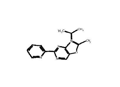 CC(C)N1c2nc(-c3ccccn3)ncc2OC1C